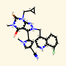 Cn1cc(C#N)cc1-c1c2c(=O)n(C)c(=S)n(CC3CC3)c2nn1Cc1ccnc2c(Cl)cccc12